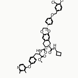 COC(=O)C(Cc1ccc(Oc2ccnc(C)c2C)cc1)NC(=O)[C@@H]1Cc2cc3c(cc2CN1C(=O)NC1CCC1)O[C@@H](c1ccc(OCc2ccc(Cl)c(Cl)c2)cc1)CO3